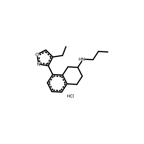 CCCNC1CCc2cccc(-c3nocc3CC)c2C1.Cl